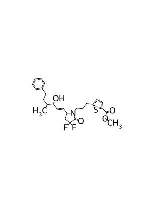 COC(=O)c1ccc(CCCN2C(=O)C(F)(F)CC2C=C[C@H](O)[C@@H](C)CCc2ccccc2)s1